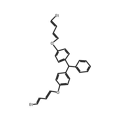 CCC=CC=COc1ccc([C](c2ccccc2)c2ccc(OC=CC=CCC)cc2)cc1